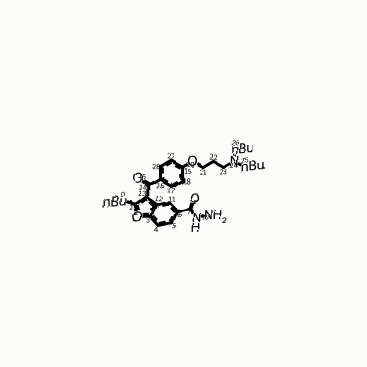 CCCCc1oc2ccc(C(=O)NN)cc2c1C(=O)c1ccc(OCCCN(CCCC)CCCC)cc1